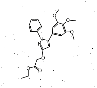 CCOC(=O)COc1cc(-c2cc(OC)c(OC)c(OC)c2)n(-c2ccccc2)n1